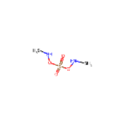 O=S(=O)(ON[SiH3])ON[SiH3]